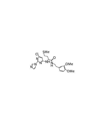 COc1ccc(CCNC(=O)C(CCSC)Nc2cc(Cl)nc(-n3ccnc3)n2)cc1OC